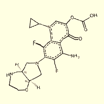 Nc1c(F)c(N2C[C@@H]3NCCO[C@@H]3C2)c(F)c2c1c(=O)c(OC(=O)O)cn2C1CC1